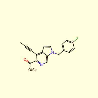 CC#Cc1c(C(=O)OC)ncc2c1ccn2Cc1ccc(F)cc1